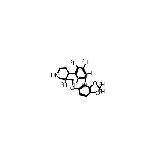 [2H]c1c([2H])c(C2CCNC[C@]2([2H])COc2ccc3c(c2)OC([2H])([2H])O3)c([2H])c([2H])c1F